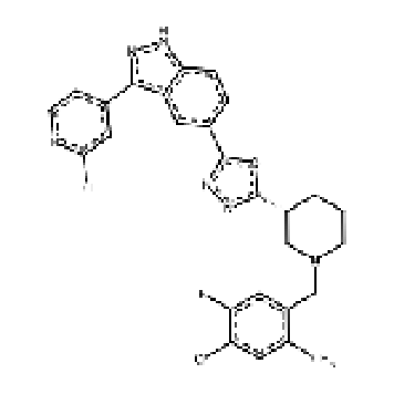 Cc1cc(Cl)c(F)cc1CN1CCC[C@@H](c2nnc(-c3ccc4[nH]nc(-c5ccnc(Cl)c5)c4c3)o2)C1